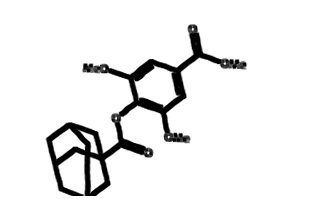 COC(=O)c1cc(OC)c(OC(=O)C23CC4CC(CC(C4)C2)C3)c(OC)c1